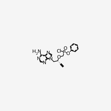 C#C[C@H](Cn1cnc2c(N)ncnc21)OCP(=O)(Cl)Oc1ccccc1